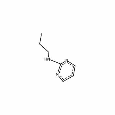 ICCNc1ncccn1